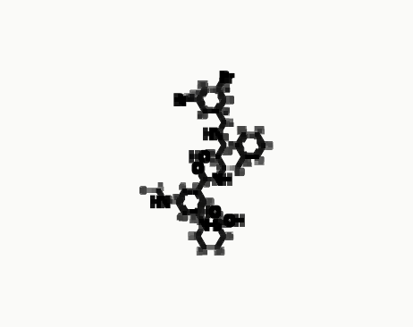 CCNc1cc(C(=O)N[C@@H](Cc2ccccc2)[C@H](O)CNCc2cc(Br)cc(Br)c2)cc(N2CCCCS2(O)O)c1